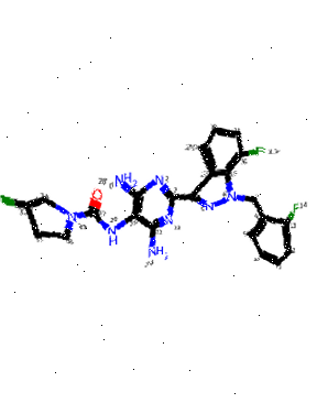 Nc1nc(-c2nn(Cc3ccccc3F)c3c(F)cccc23)nc(N)c1NC(=O)N1CCC(F)C1